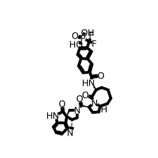 N#C[C@H]1CN(C(=O)[C@@H]2CC[C@@H]3CCCC[C@H](NC(=O)c4ccc5ccc(C(F)(F)P(=O)(O)O)cc5c4)C(=O)N32)C[C@@]12C(=O)Nc1ccccc12